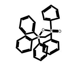 CCP(OP(=O)(c1ccccc1)c1ccccc1)(c1ccccc1)(c1ccccc1)c1ccccc1